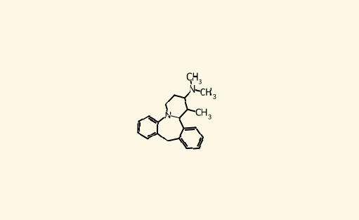 CC1C(N(C)C)CCN2c3ccccc3Cc3ccccc3C12